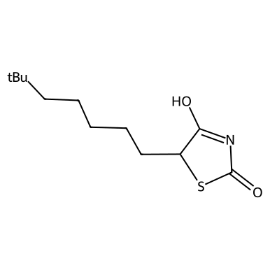 CC(C)(C)CCCCCC1SC(=O)N=C1O